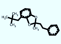 CC(C)(C)Cc1cccc2c1OC(C)(CCc1ccccc1)O2